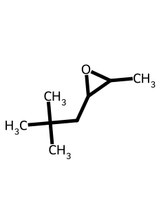 CC1OC1CC(C)(C)C